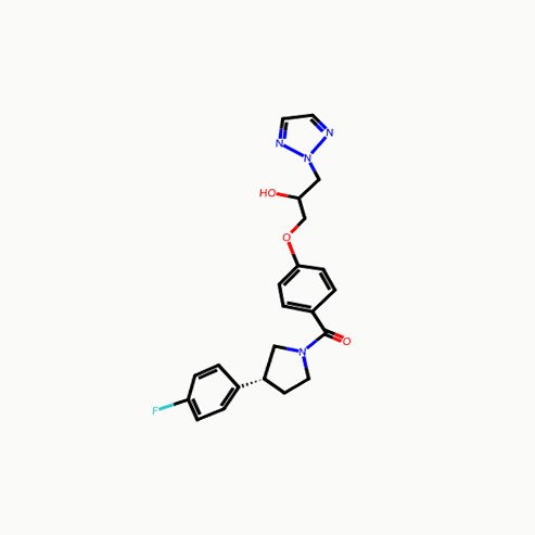 O=C(c1ccc(OCC(O)Cn2nccn2)cc1)N1CC[C@H](c2ccc(F)cc2)C1